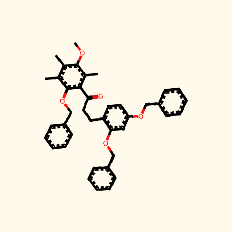 COc1c(C)c(C)c(OCc2ccccc2)c(C(=O)CCc2ccc(OCc3ccccc3)cc2OCc2ccccc2)c1C